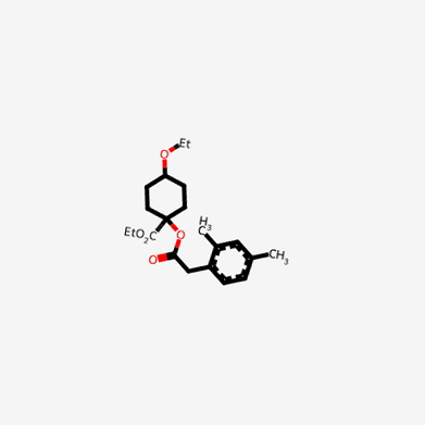 CCOC(=O)C1(OC(=O)Cc2ccc(C)cc2C)CCC(OCC)CC1